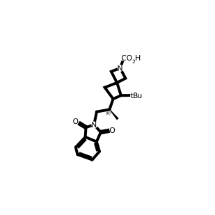 C[C@@H](CN1C(=O)c2ccccc2C1=O)C1CC2(CN(C(=O)O)C2)C1C(C)(C)C